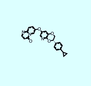 O=c1ccnc2ccc(Oc3cnc4c(c3)OC[C@H](c3ccc(C5CC5)cc3)O4)cn12